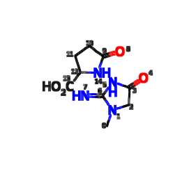 CN1CC(=O)NC1=N.O=C1CCC(C(=O)O)N1